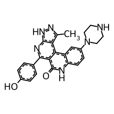 Cc1n[nH]c2nc(-c3ccc(O)cc3)c3c(=O)[nH]c4ccc(N5CCNCC5)cc4c3c12